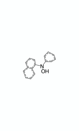 ON(c1ccccc1)c1cccc2ccccc12